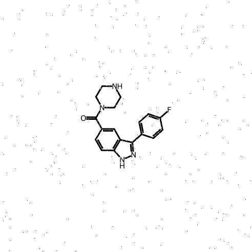 O=C(c1ccc2[nH]nc(-c3ccc(F)cc3)c2c1)N1CCNCC1